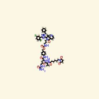 CC(C)[C@H](NC(=O)CCCCCN1C(=O)C=CC1=O)C(=O)N[C@@H](CCCNC(N)=O)C(=O)Nc1ccc(COC(=O)NCCCN(C(=O)c2cccnc2)[C@@H](c2nc(-c3cc(F)ccc3F)nn2Cc2ccccc2)C(C)(C)C)cc1